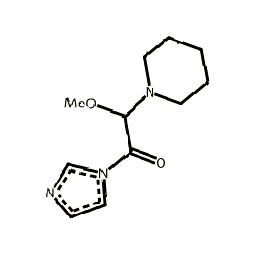 COC(C(=O)n1ccnc1)N1CCCCC1